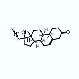 CC12CC[C@@H]3[C@@H](CC=C4CC(=O)CC[C@@]43C)[C@H]1CCC2(O)N=[N+]=[N-]